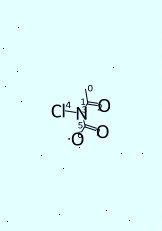 CC(=O)N(Cl)C([O])=O